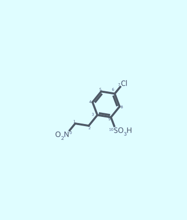 O=[N+]([O-])CCc1ccc(Cl)cc1S(=O)(=O)O